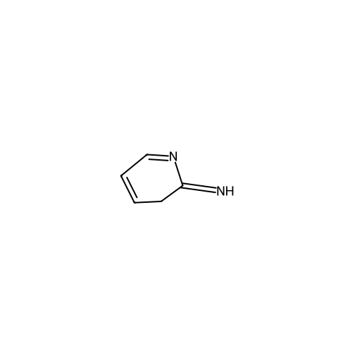 N=C1CC=CC=N1